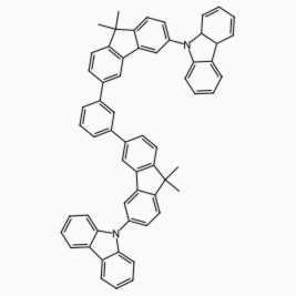 CC1(C)c2ccc(-c3cccc(-c4ccc5c(c4)-c4cc(-n6c7ccccc7c7ccccc76)ccc4C5(C)C)c3)cc2-c2cc(N3c4ccccc4C4C=CC=CC43)ccc21